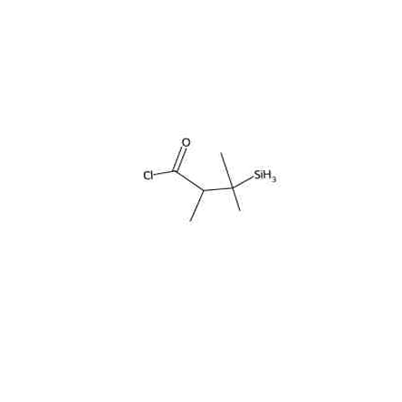 CC(C(=O)Cl)C(C)(C)[SiH3]